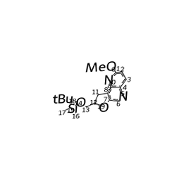 COc1ccc2ncc3c(c2n1)CC(CO[Si](C)(C)C(C)(C)C)O3